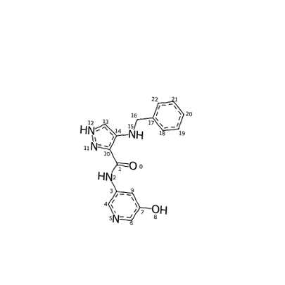 O=C(Nc1cncc(O)c1)c1n[nH]cc1NCc1ccccc1